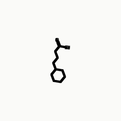 O=C(S)CCCC1CCCCC1